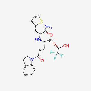 CC[C@@H](/C=C/C(=O)N1CCc2ccccc21)N[C@@H](Cc1cccs1)C(N)=O.O=C(O)C(F)(F)F